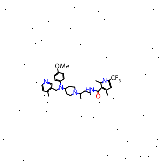 COc1ccc(N(Cc2cnccc2C)C2CCN(C(C)CCNC(=O)c3c(C)cc(C(F)(F)F)nc3C)CC2)cc1